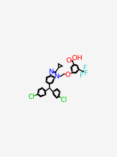 O=C(O)c1cc(OCCn2c(C3CC3)nc3ccc(C(c4ccc(Cl)cc4)c4ccc(Cl)cc4)cc32)cc(C(F)(F)F)c1